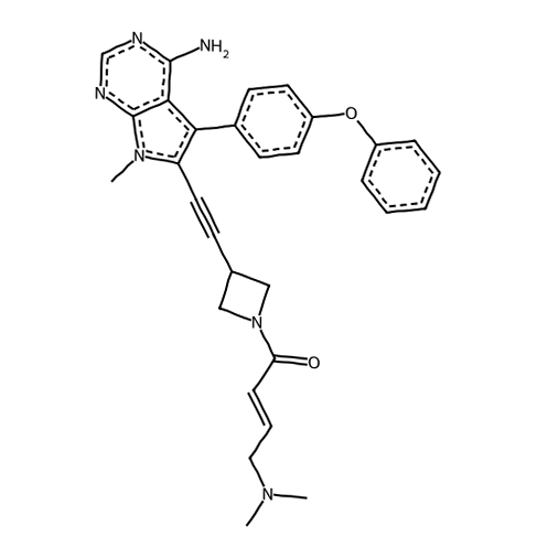 CN(C)C/C=C/C(=O)N1CC(C#Cc2c(-c3ccc(Oc4ccccc4)cc3)c3c(N)ncnc3n2C)C1